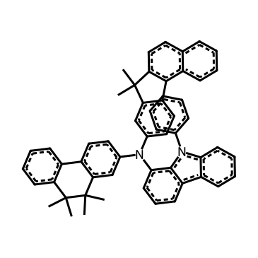 CC1(C)c2cc(N(c3ccc4c(c3)C(C)(C)C(C)(C)c3ccccc3-4)c3cccc4c5ccccc5n(-c5ccccc5)c34)ccc2-c2c1ccc1ccccc21